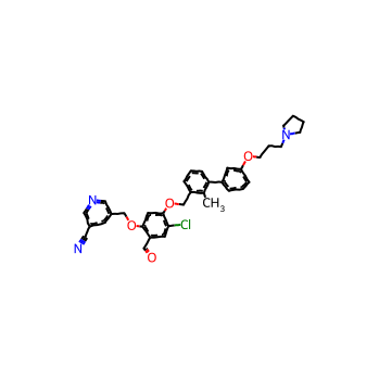 Cc1c(COc2cc(OCc3cncc(C#N)c3)c(C=O)cc2Cl)cccc1-c1cccc(OCCCN2CCCC2)c1